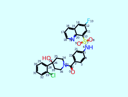 O=C(c1ccc(NS(=O)(=O)c2cc(F)cc3cccnc23)cc1)N1CCC(O)(c2ccccc2Cl)CC1